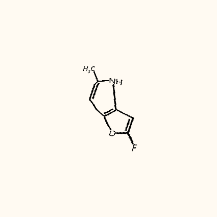 Cc1cc2oc(F)cc2[nH]1